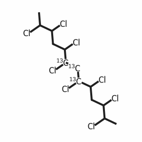 CC(Cl)C(Cl)CC(Cl)[13CH](Cl)[13CH2][13CH](Cl)C(Cl)CC(Cl)C(C)Cl